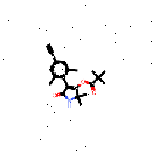 C#Cc1cc(C)c(C2=C(OC(=O)C(C)(C)C)C(C)(C)NC2=O)c(C)c1